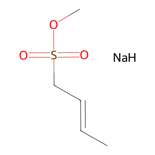 CC=CCS(=O)(=O)OC.[NaH]